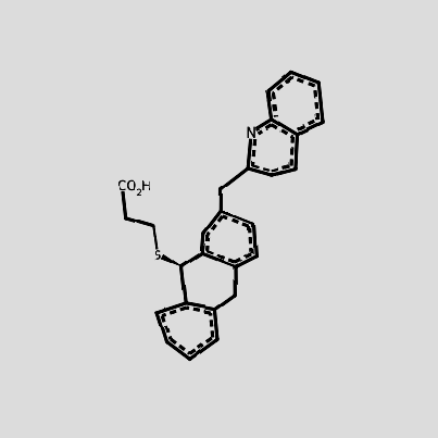 O=C(O)CCS[C@@H]1c2ccccc2Cc2ccc(Cc3ccc4ccccc4n3)cc21